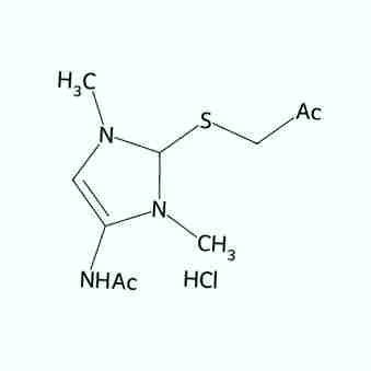 CC(=O)CSC1N(C)C=C(NC(C)=O)N1C.Cl